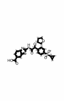 O=C(O)c1ccc2nc(NC(=O)C(O[C@@H]3CCOC3)c3ccc(S(=O)(=O)C4CC4)cc3)sc2c1